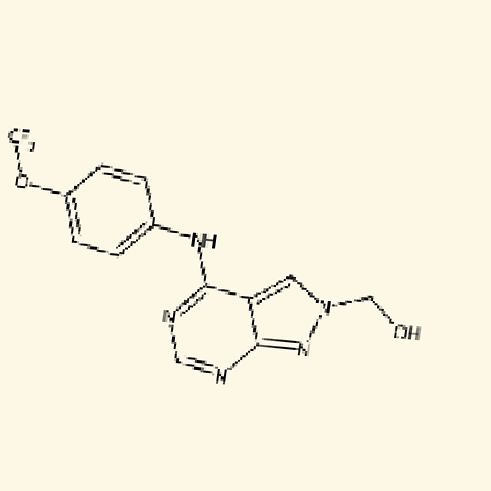 OCn1cc2c(Nc3ccc(OC(F)(F)F)cc3)ncnc2n1